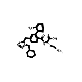 CSCC[C@H](NC(=O)c1ccc(Cc2nnnn2CC2CCCCC2)cc1-c1ccccc1C)C(=O)O